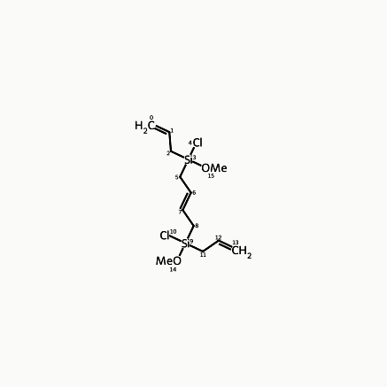 C=CC[Si](Cl)(CC=CC[Si](Cl)(CC=C)OC)OC